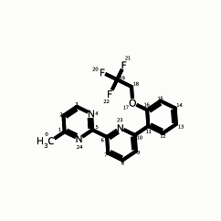 Cc1ccnc(-c2cccc(-c3ccccc3OCC(F)(F)F)n2)n1